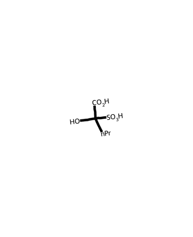 CCCC(O)(C(=O)O)S(=O)(=O)O